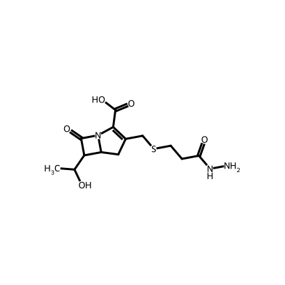 CC(O)C1C(=O)N2C(C(=O)O)=C(CSCCC(=O)NN)CC12